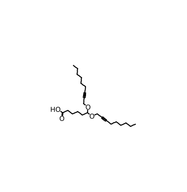 CCCCCCC#CCOC(CCCCC(=O)O)OCC#CCCCCCC